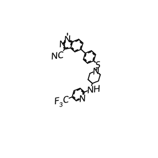 Cn1nc(C#N)c2cc(-c3ccc(SN4CCC(Nc5ccc(C(F)(F)F)cn5)CC4)cc3)ccc21